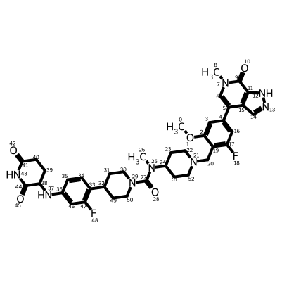 COc1cc(-c2cn(C)c(=O)c3[nH]ncc23)cc(F)c1CN1CCC(N(C)C(=O)N2CCC(c3ccc(NC4CCC(=O)NC4=O)cc3F)CC2)CC1